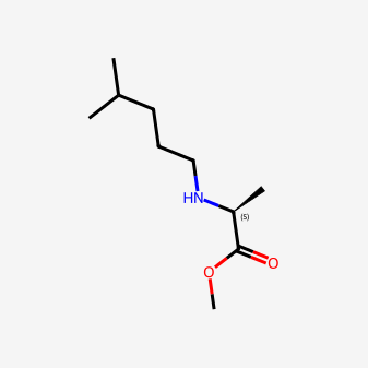 COC(=O)[C@H](C)NCCCC(C)C